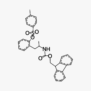 Cc1ccc(S(=O)(=O)Oc2ccccc2CC(C)NC(=O)OCC2c3ccccc3-c3ccccc32)cc1